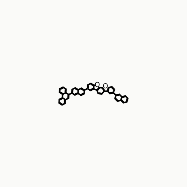 c1ccc2cc(-c3ccc4oc5c(ccc6c7cc(-c8ccc9cc(-c%10cc%11ccccc%11c%11ccccc%10%11)ccc9c8)ccc7oc65)c4c3)ccc2c1